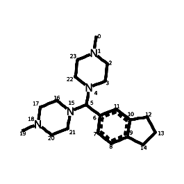 CN1CCN(C(c2ccc3c(c2)CCC3)N2CCN(C)CC2)CC1